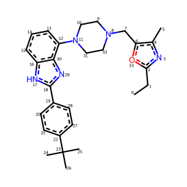 CCc1nc(C)c(CN2CCN(c3cccc4[nH]c(-c5ccc(C(C)(C)C)cc5)nc34)CC2)o1